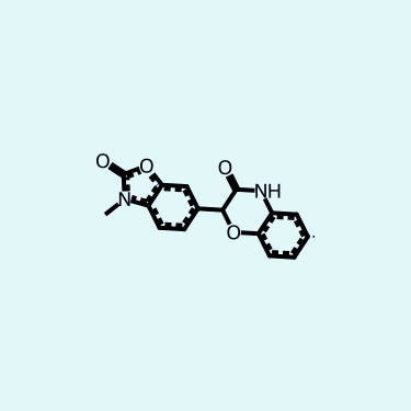 Cn1c(=O)oc2cc(C3Oc4cc[c]cc4NC3=O)ccc21